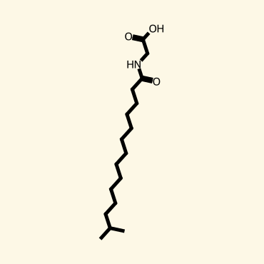 CC(C)CCCCCCCCCCCC(=O)NCC(=O)O